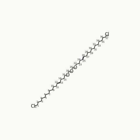 ClCCCCCCCCCCCC=CCCCOCOCOCCCC=CCCCCCCCCCCCCl